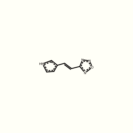 C(=C\c1nnon1)/c1cc[nH]c1